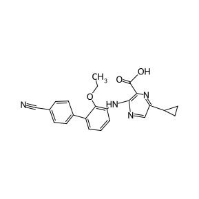 CCOc1c(Nc2ncc(C3CC3)nc2C(=O)O)cccc1-c1ccc(C#N)cc1